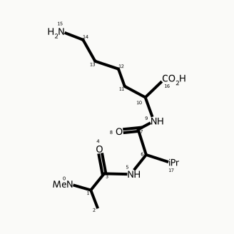 CNC(C)C(=O)NC(C(=O)NC(CCCCN)C(=O)O)C(C)C